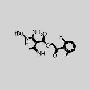 CC(=N)/C(C(=O)OCC(=O)c1c(F)cccc1F)=C(/N)NC(C)(C)C